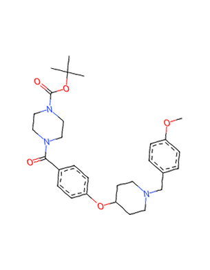 COc1ccc(CN2CCC(Oc3ccc(C(=O)N4CCN(C(=O)OC(C)(C)C)CC4)cc3)CC2)cc1